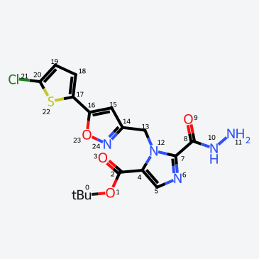 CC(C)(C)OC(=O)c1cnc(C(=O)NN)n1Cc1cc(-c2ccc(Cl)s2)on1